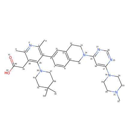 Cc1nc(C)c(-c2ccc3c(c2)CCN(c2cc(N4CCN(C)CC4)ncn2)C3)c(N2CCC(C)(C)CC2)c1CC(=O)O